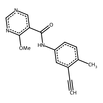 C#Cc1cc(NC(=O)c2cncnc2OC)ccc1C